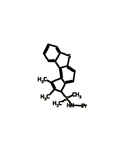 CC1=C(C)C(S(C)(C)NC(C)C)c2ccc3sc4ccccc4c3c21